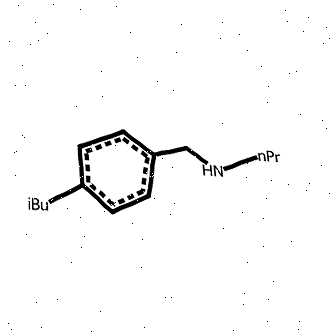 CCCNCc1ccc(C(C)CC)cc1